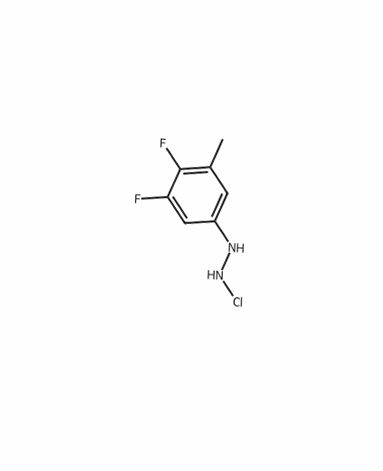 Cc1cc(NNCl)cc(F)c1F